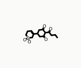 CCCC(=O)C1C(=O)CC(C2=CCCS(=O)(=O)C2)CC1=O